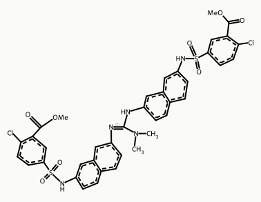 COC(=O)c1cc(S(=O)(=O)Nc2ccc3ccc(/N=C(/Nc4ccc5ccc(NS(=O)(=O)c6ccc(Cl)c(C(=O)OC)c6)cc5c4)N(C)C)cc3c2)ccc1Cl